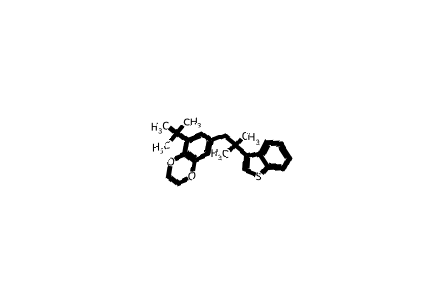 CC(C)(C)c1cc(CC(C)(C)c2csc3ccccc23)cc2c1OCCO2